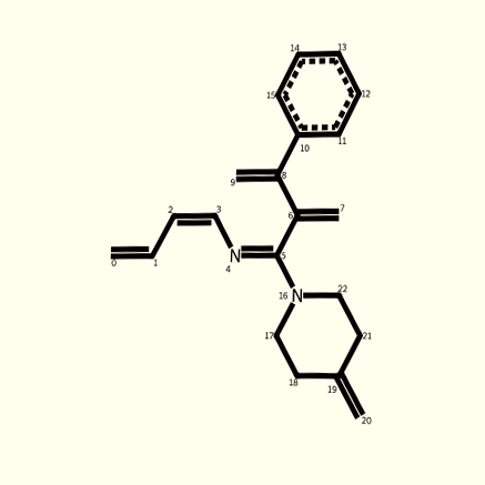 C=C/C=C\N=C(/C(=C)C(=C)c1ccccc1)N1CCC(=C)CC1